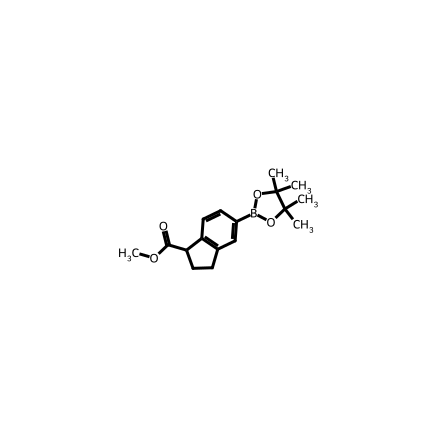 COC(=O)C1CCc2cc(B3OC(C)(C)C(C)(C)O3)ccc21